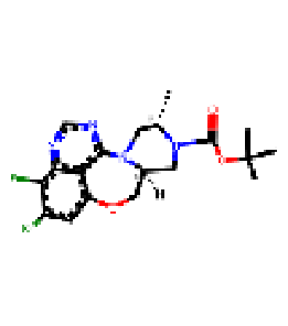 C[C@H]1CN2c3ncnc4c(F)c(Br)cc(c34)OC[C@@H]2CN1C(=O)OC(C)(C)C